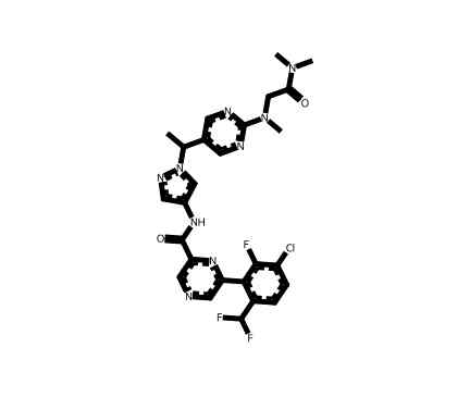 CC(c1cnc(N(C)CC(=O)N(C)C)nc1)n1cc(NC(=O)c2cncc(-c3c(C(F)F)ccc(Cl)c3F)n2)cn1